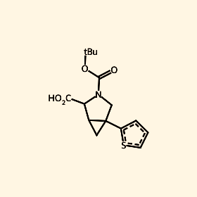 CC(C)(C)OC(=O)N1CC2(c3cccs3)CC2C1C(=O)O